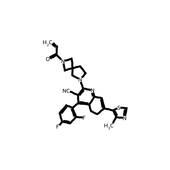 C=CC(=O)N1CC2(CCN(c3nc4c(c(-c5ccc(F)cc5F)c3C#N)CCC(c3scnc3C)=C4)C2)C1